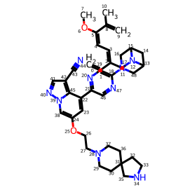 C=C/C(=C\C=C(\OC)C(=C)C)CN1C2CC1CN(c1cnc(-c3cc(OCCN4CCC5(CCNC5)CC4)cn4ncc(C#N)c34)cn1)C2